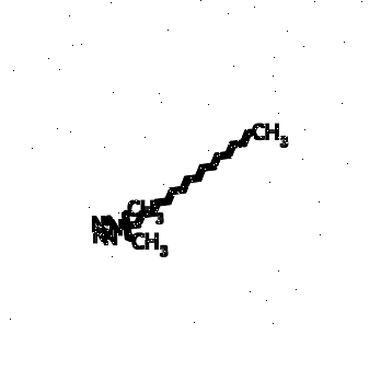 CCCCCCCCCCCCCCCCCC(CC)(CC)n1cnnn1